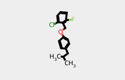 CC(C)Cc1ccc(OCc2c(F)cccc2Cl)cc1